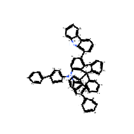 c1ccc(-c2ccc(N(c3ccc(-c4ccccc4)cc3)c3ccc(-c4cccc5c4[nH]c4ccccc45)c4c3C(c3ccccc3)(c3ccccc3)c3ccccc3-4)cc2)cc1